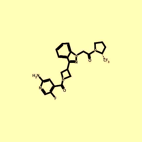 Nc1cc(C(=O)N2CC(c3nn(CC(=O)N4CCC[C@@H]4C(F)(F)F)c4ccccc34)C2)c(F)cn1